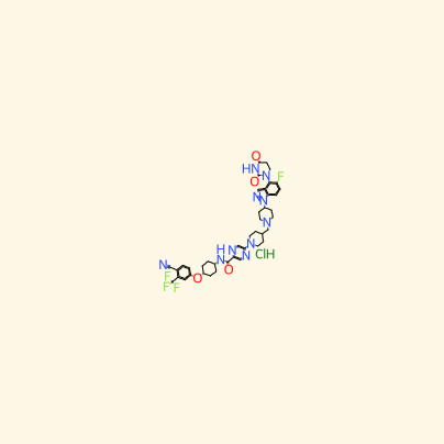 Cl.N#Cc1ccc(OC2CCC(NC(=O)c3cnc(N4CCC(CN5CCC(n6ncc7c(N8CCC(=O)NC8=O)c(F)ccc76)CC5)CC4)cn3)CC2)cc1C(F)(F)F